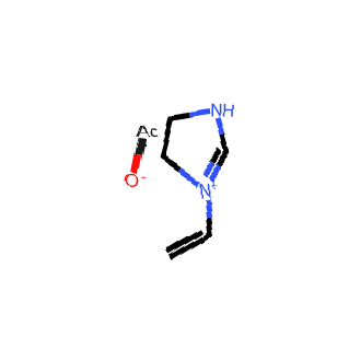 C=C[N+]1=CNCC1.CC(=O)[O-]